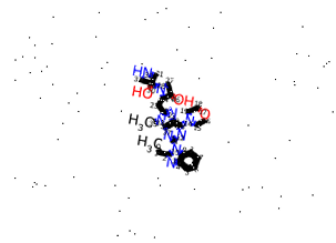 CCc1nc2ccccc2n1-c1nc(N2CCOCC2)c2nc(CC3C(O)CN3C3(O)CNC3)n(C)c2n1